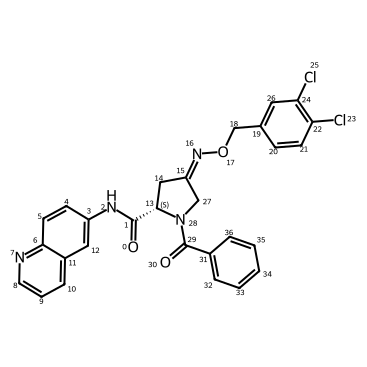 O=C(Nc1ccc2ncccc2c1)[C@@H]1CC(=NOCc2ccc(Cl)c(Cl)c2)CN1C(=O)c1ccccc1